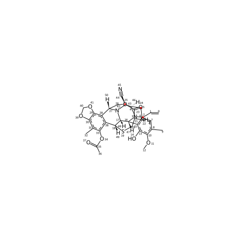 C=CCN1[C@@H]2Cc3cc(C)c(OC)c(O)c3[C@@H]1[C@@H]1[C@@H]3SCC(N)C(=O)OC[C@@H](c4c5c(c(C)c(OC(C)=O)c43)OCO5)N1[C@H]2C#N